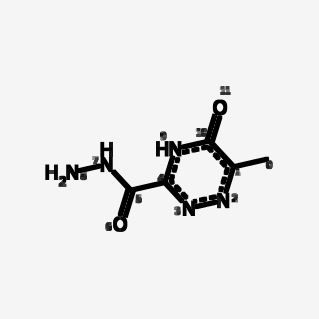 Cc1nnc(C(=O)NN)[nH]c1=O